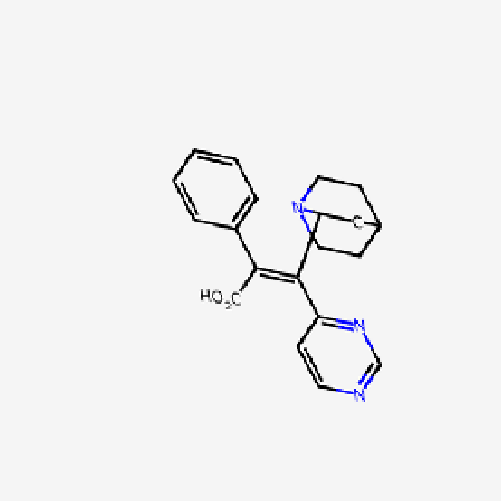 O=C(O)/C(=C(\c1ccncn1)C1CC2CCN1CC2)c1ccccc1